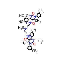 CC1=C(C(=O)NCCCN(C)CCCNC(=O)C2=C(C)N(c3cccc(C(F)(F)F)c3)C(=O)N(CC(=O)O)[C@@H]2c2ccc(C#N)cc2)[C@@H](c2ccc(C#N)cc2)N(CC(=O)O)C(=O)N1c1cccc(C(F)(F)F)c1